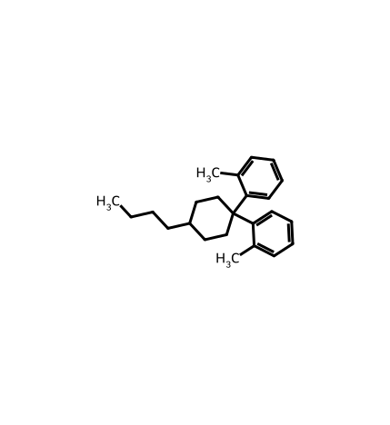 CCCCC1CCC(c2ccccc2C)(c2ccccc2C)CC1